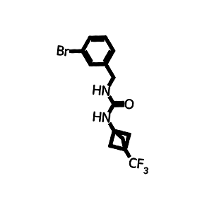 O=C(NCc1cccc(Br)c1)NC12CC(C(F)(F)F)(C1)C2